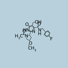 CCOC1CC(c2nc(C(=O)NCc3ccc(F)cc3)c(CO)c(=O)[nH]2)N(C(C)=O)C1